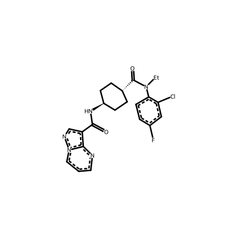 CCN(c1ccc(F)cc1Cl)C(=O)[C@H]1CC[C@H](NC(=O)c2cnn3cccnc23)CC1